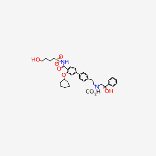 O=C(NS(=O)(=O)CCCCO)c1ccc(-c2ccc(CCN(C[C@H](O)c3ccccc3)C(=O)O)cc2)cc1OC1CCCCC1